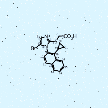 O=C(O)CSc1nnc(Br)n1-c1ccc2ccccc2c1C1CC1